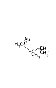 CC(=C=[CH][Au])CCC=C(C)CCC=C(C)C